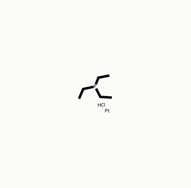 CCP(CC)CC.Cl.[Pt]